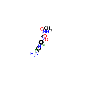 CC(=O)NC[C@H]1CN(c2ccc(N3CCC(F)(CN)CC3)c(F)c2)C(=O)O1